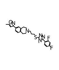 Cc1cc(-c2ccc3c(c2)CCN(CCCSc2nnc(-c4ccc(F)cc4F)n2C)CC3)no1